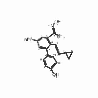 CCCc1cc(C(N)=NO)c(C=CC2CC2)c(-c2ccc(O)cc2)c1